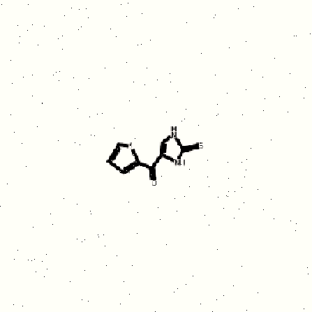 O=C(c1c[nH]c(=S)[nH]1)c1cccs1